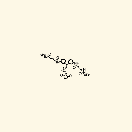 CCCNC(=O)CCCC(=O)Nc1ccc2c(c1)C(COC(=O)ON1C(=O)CCC1=O)c1cc(NC(=O)CCCC(=O)NCCC)ccc1-2